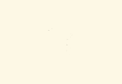 Cl.Cl.Cl.Cl.Cl.Cl.[AlH3].[Fe]